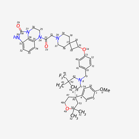 COc1ccc([C@]2(CCN(Cc3ccc(OC4CC5(CCN(CC(=O)N6CCn7c(=O)[nH]c8cccc6c87)CC5)C4)cc3)CC(C)(C)C(F)(F)F)CCOC(C)(C)C2)cc1